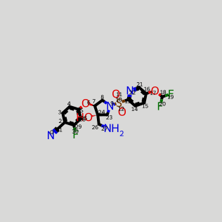 N#Cc1ccc(O[C@H]2CN(S(=O)(=O)c3ccc(OC(F)F)cn3)C[C@@]2(O)CN)cc1F